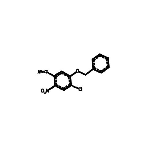 COc1cc(OCc2ccccc2)c(Cl)cc1[N+](=O)[O-]